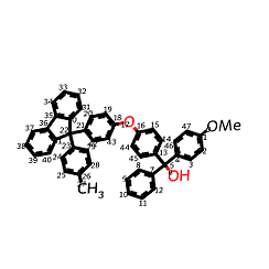 COc1ccc(C(O)(c2ccccc2)c2ccc(Oc3ccc(C4(c5ccc(C)cc5)c5ccccc5-c5ccccc54)cc3)cc2)cc1